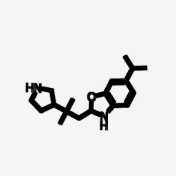 CC(C)c1ccc2c(c1)OC(CC(C)(C)C1CCNC1)N2